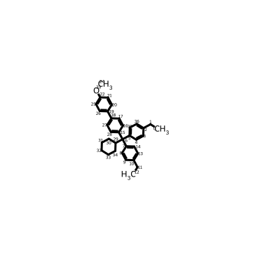 CCc1ccc(C(c2ccc(CC)cc2)(c2ccc(-c3ccc(OC)cc3)cc2)C2CCCCC2)cc1